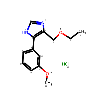 CCOCc1nc[nH]c1-c1cccc(OC)c1.Cl